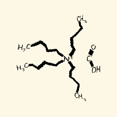 CCCC[N+](CCCC)(CCCC)CCCC.O=[C-]O